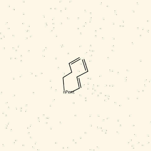 C=CC=CC.C=CCCCCCCC